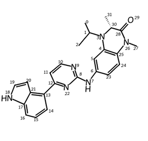 CC(C)N1c2cc(Nc3nccc(-c4cccc5[nH]ccc45)n3)ccc2N(C)C(=O)[C@H]1C